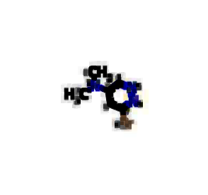 CN(C)c1cnnc(Br)c1